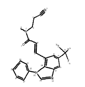 CN(CCC#N)C(=O)/C=C/c1cc(C(F)(F)F)cc2ncn(-c3ccccc3)c12